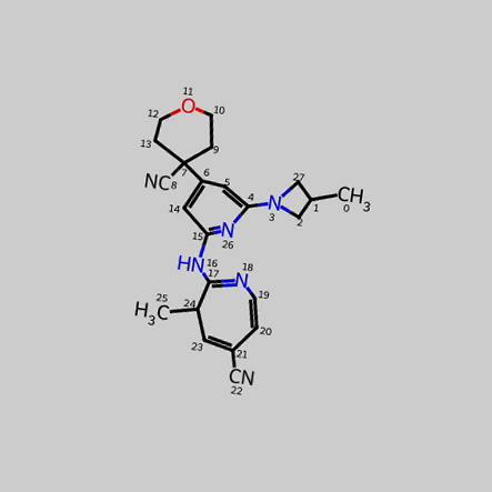 CC1CN(c2cc(C3(C#N)CCOCC3)cc(NC3=NC=CC(C#N)=CC3C)n2)C1